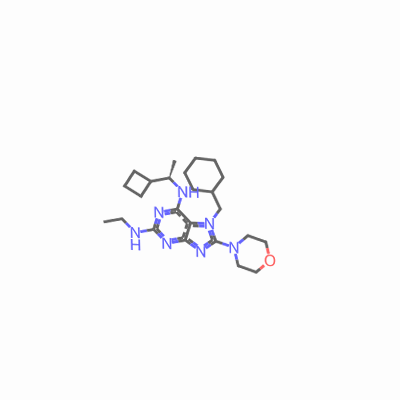 CCNc1nc(N[C@H](C)C2CCC2)c2c(n1)nc(N1CCOCC1)n2CC1CCCCC1